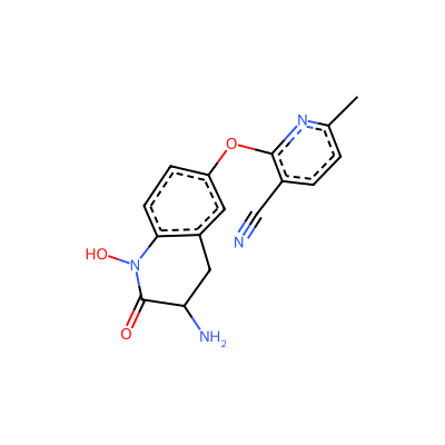 Cc1ccc(C#N)c(Oc2ccc3c(c2)CC(N)C(=O)N3O)n1